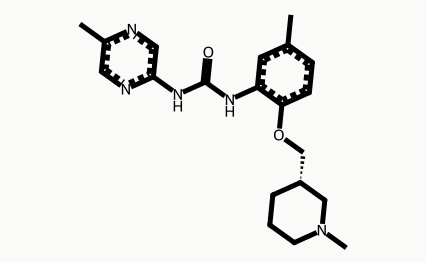 Cc1ccc(OC[C@H]2CCCN(C)C2)c(NC(=O)Nc2cnc(C)cn2)c1